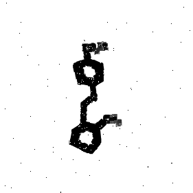 CCOC(=O)c1ccc(OCc2ccccc2C)cc1